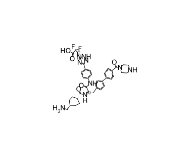 NC[C@H]1CC[C@H](C(=O)N[C@@H](Cc2ccc(-c3ccc(C(=O)N4CCNCC4)cc3)cc2)C(=O)Nc2ccc(-c3nn[nH]n3)cc2)CC1.O=C(O)C(F)(F)F